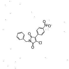 O=C1C(Cl)=C(c2ccc([N+](=O)[O-])cc2)C(=O)N1Cc1ccccc1